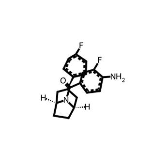 Nc1ccc(C(=O)N2[C@@H]3CC[C@H]2C[C@@H](c2ccc(F)cc2)C3)cc1F